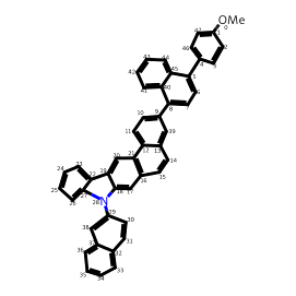 COc1ccc(-c2ccc(-c3ccc4c(ccc5cc6c(cc54)c4ccccc4n6-c4ccc5ccccc5c4)c3)c3ccccc23)cc1